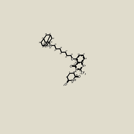 O=C1CC[C@@H](n2c(C(F)(F)F)nc3cccc(OCCCCCCCNC45CC6CC(CC(C6)C4)C5)c3c2=O)C(=O)N1